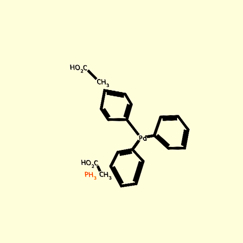 CC(=O)O.CC(=O)O.P.c1cc[c]([Pd]([c]2ccccc2)[c]2ccccc2)cc1